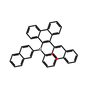 c1ccc(N(c2ccc3ccccc3c2)c2c(-c3ccc4ccccc4c3)c3ccccc3c3ccccc23)cc1